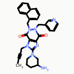 CC#CCn1c(N2CCCC(N)C2)nc2c(=O)n(Cc3cccnc3)n(Cc3cccc4ccccc34)c(=O)c21